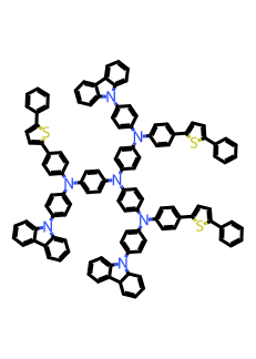 C1=CC2c3ccccc3N(c3ccc(N(c4ccc(-c5ccc(-c6ccccc6)s5)cc4)c4ccc(N(c5ccc(N(c6ccc(-c7ccc(-c8ccccc8)s7)cc6)c6ccc(-n7c8ccccc8c8ccccc87)cc6)cc5)c5ccc(N(c6ccc(-c7ccc(-c8ccccc8)s7)cc6)c6ccc(-n7c8ccccc8c8ccccc87)cc6)cc5)cc4)cc3)C2C=C1